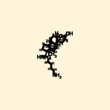 C[C@]12CC[C@H](O)C[C@H]1CC[C@@H]1[C@@H]2CC[C@]2(C)[C@@H](C(=N)OCCCCN)CC[C@]12O